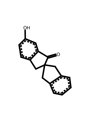 O=C1c2cc(O)ccc2CC12Cc1ccccc1C2